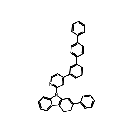 C1=C(c2ccccc2)CCc2c1n(-c1cc(-c3cccc(-c4ccc(-c5ccccc5)cc4)c3)ccn1)c1ccccc21